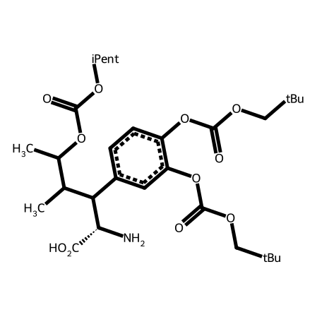 CCCC(C)OC(=O)OC(C)C(C)C(c1ccc(OC(=O)OCC(C)(C)C)c(OC(=O)OCC(C)(C)C)c1)[C@H](N)C(=O)O